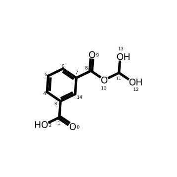 O=C(O)c1cccc(C(=O)OC(O)O)c1